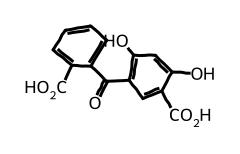 O=C(O)c1cc(C(=O)c2ccccc2C(=O)O)c(O)cc1O